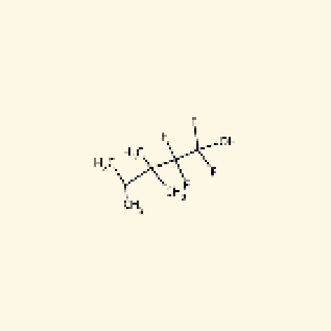 CC(C)C(C)(C)C(F)(F)C(O)(F)F